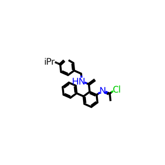 C=C(NCC(/C=C\C(=C)C(C)C)=C/C)c1c(/N=C(\C)Cl)cccc1-c1ccccc1